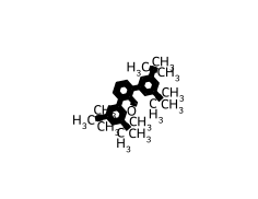 CC(C)(C)c1cc(-c2cccc(-c3cc(C(C)(C)C)cc(C(C)(C)C)c3)c2C=O)cc(C(C)(C)C)c1